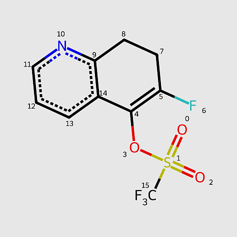 O=S(=O)(OC1=C(F)CCc2ncccc21)C(F)(F)F